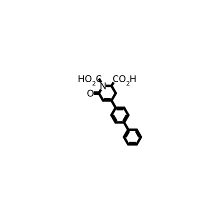 O=C(O)C1CC(c2ccc(-c3ccccc3)cc2)=CC(=O)N1C(=O)O